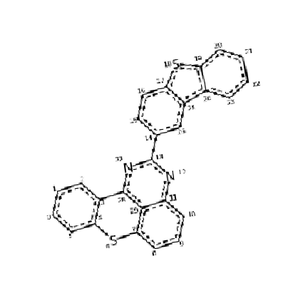 c1ccc2c(c1)Sc1cccc3nc(-c4ccc5sc6ccccc6c5c4)nc-2c13